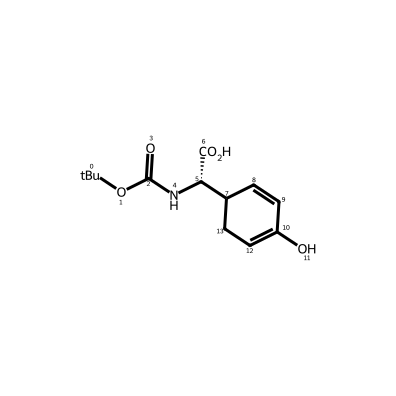 CC(C)(C)OC(=O)N[C@H](C(=O)O)C1C=CC(O)=CC1